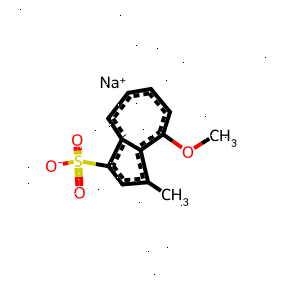 COc1ccccc2c(S(=O)(=O)[O-])cc(C)c1-2.[Na+]